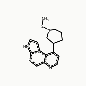 CSN1CCCC(c2ccnc3cnc4[nH]ccc4c23)C1